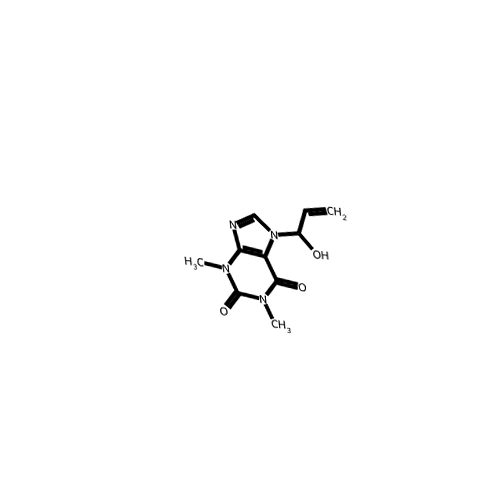 C=CC(O)n1cnc2c1c(=O)n(C)c(=O)n2C